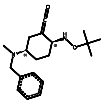 CN(Cc1ccccc1)[C@H]1CC[C@H](NOC(C)(C)C)C(=C=O)C1